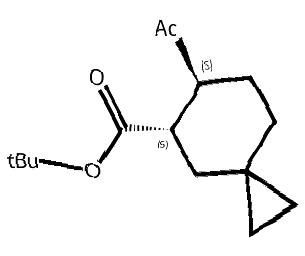 CC(=O)[C@H]1CCC2(CC2)C[C@@H]1C(=O)OC(C)(C)C